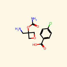 NCC1(OC(N)=O)COC1.O=C(O)c1ccc(Cl)cc1